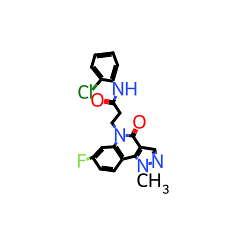 Cn1ncc2c(=O)n(CCC(=O)Nc3ccccc3Cl)c3cc(F)ccc3c21